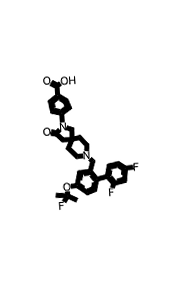 CC(C)(F)Oc1ccc(-c2ccc(F)cc2F)c(CN2CCC3(CC2)CC(=O)N(c2ccc(C(=O)O)cc2)C3)c1